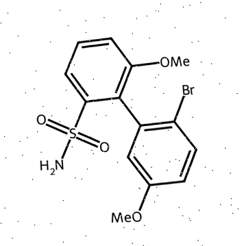 COc1ccc(Br)c(-c2c(OC)cccc2S(N)(=O)=O)c1